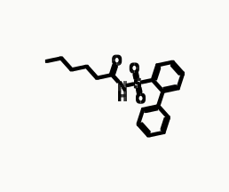 CCCCCC(=O)NS(=O)(=O)c1ccccc1-c1ccccc1